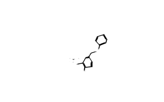 O=P(O)(O)Oc1cc([C]Oc2ccccc2)ccc1Cl